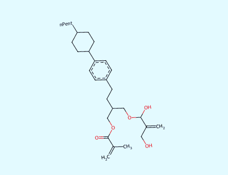 C=C(C)C(=O)OCC(CCc1ccc(C2CCC(CCCCC)CC2)cc1)COC(O)C(=C)CO